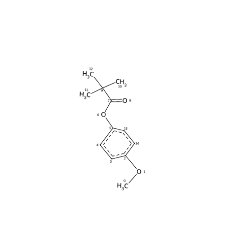 COc1ccc(OC(=O)C(C)(C)C)cc1